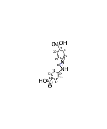 O=C(O)c1ccc(/N=C/Nc2ccc(C(=O)O)cc2)cc1